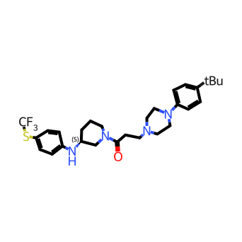 CC(C)(C)c1ccc(N2CCN(CCC(=O)N3CCC[C@H](Nc4ccc(SC(F)(F)F)cc4)C3)CC2)cc1